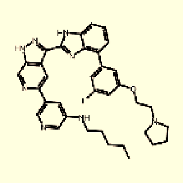 CCCCCNc1cncc(-c2cc3c(-c4nc5c(-c6cc(F)cc(OCCN7CCCC7)c6)cccc5[nH]4)n[nH]c3cn2)c1